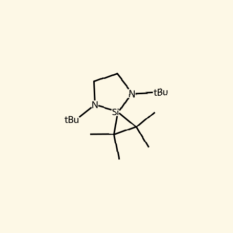 CC(C)(C)N1CCN(C(C)(C)C)[Si]12C(C)(C)C2(C)C